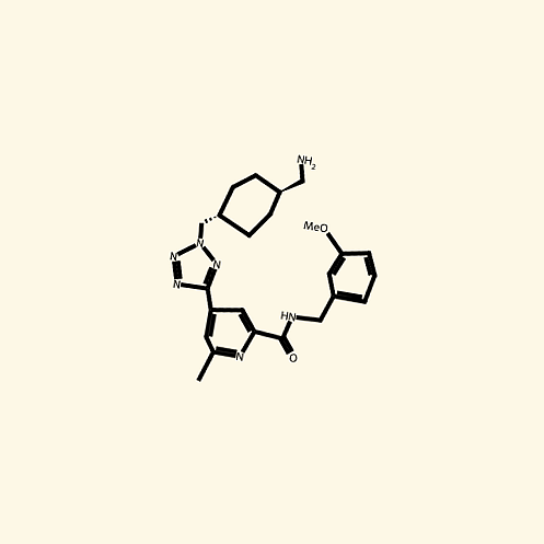 COc1cccc(CNC(=O)c2cc(-c3nnn(C[C@H]4CC[C@H](CN)CC4)n3)cc(C)n2)c1